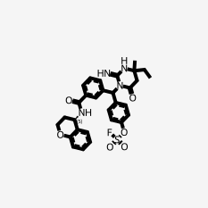 CCC1(C)CC(=O)N(C(c2ccc(OS(=O)(=O)F)cc2)c2cccc(C(=O)N[C@H]3CCOc4ccccc43)c2)C(=N)N1